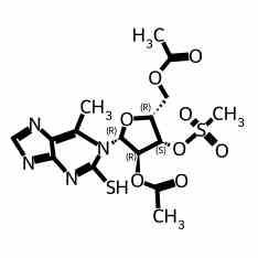 CC(=O)OC[C@H]1O[C@@H](n2c(S)nc3ncnc-3c2C)[C@H](OC(C)=O)[C@H]1OS(C)(=O)=O